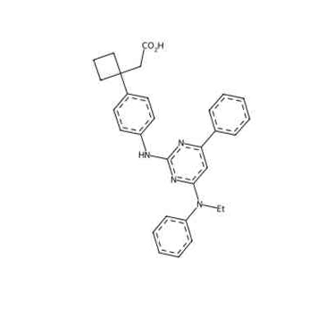 CCN(c1ccccc1)c1cc(-c2ccccc2)nc(Nc2ccc(C3(CC(=O)O)CCC3)cc2)n1